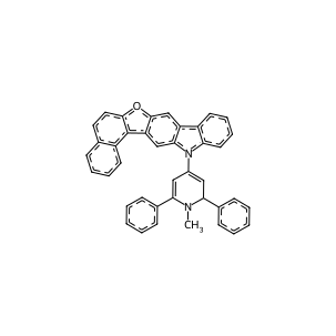 CN1C(c2ccccc2)=CC(n2c3ccccc3c3cc4oc5ccc6ccccc6c5c4cc32)=CC1c1ccccc1